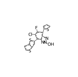 On1nc2c(-c3cccs3)c(F)c(Cl)c(-c3cc4sccc4s3)c2n1